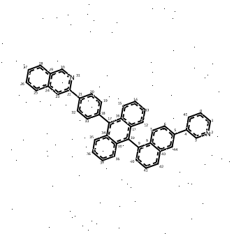 c1cncc(-c2ccc3c(-c4c5ccccc5c(-c5ccc(-c6cc7ccccc7cn6)cc5)c5ccccc45)cccc3c2)c1